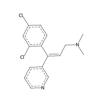 CN(C)CC=C(c1cccnc1)c1ccc(Cl)cc1Cl